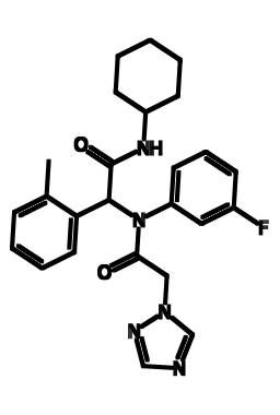 Cc1ccccc1C(C(=O)NC1CCCCC1)N(C(=O)Cn1cncn1)c1cccc(F)c1